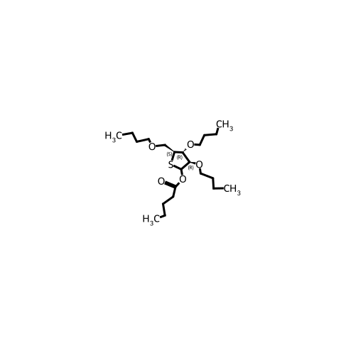 CCCCOC[C@@H]1SC(OC(=O)CCCC)[C@H](OCCCC)[C@H]1OCCCC